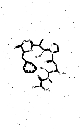 CC[C@H](C)[C@@H]([C@@H](CC(=O)N1CCC[C@H]1[C@H](OC)C(C)C(=O)NC(Cc1ccccc1)C(=O)OC)OC)N(C)C(=O)[C@@H](N)C(C)C